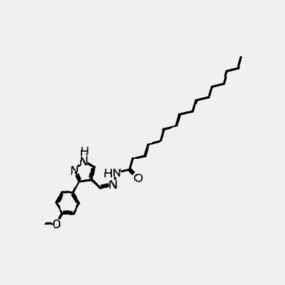 CCCCCCCCCCCCCCCC(=O)N/N=C\c1c[nH]nc1-c1ccc(OC)cc1